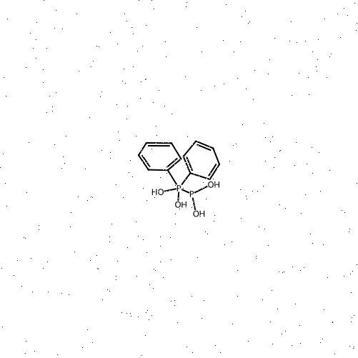 OP(O)P(O)(O)(c1ccccc1)c1ccccc1